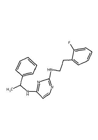 CC(Nc1ccnc(NCCc2ccccc2F)n1)c1ccccc1